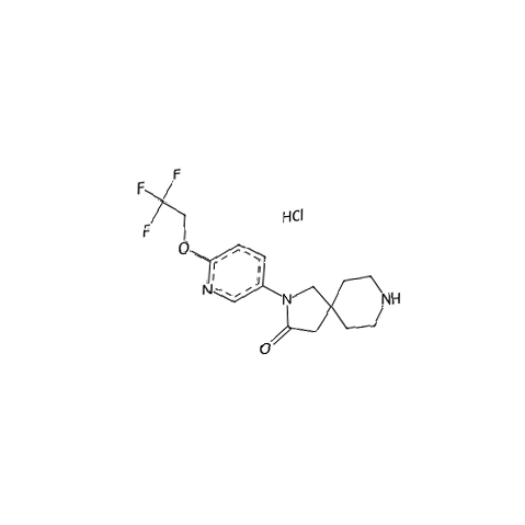 Cl.O=C1CC2(CCNCC2)CN1c1ccc(OCC(F)(F)F)nc1